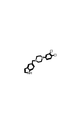 Clc1ccc(N2CCN(Cc3ccc4[nH]ccc4c3)CC2)cc1Cl